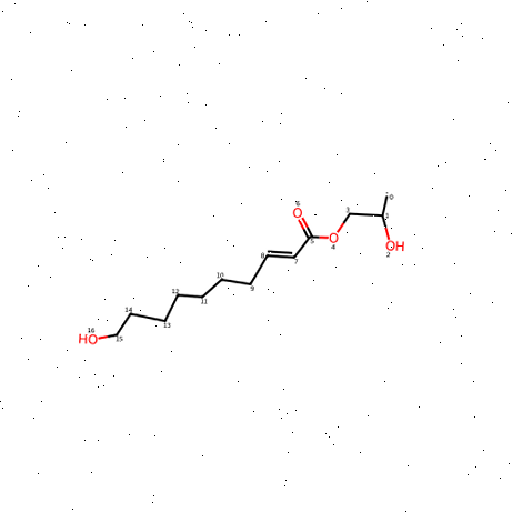 [CH2]C(O)COC(=O)C=CCCCCCCCO